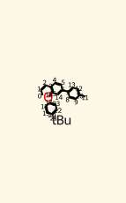 C/C=C\c1ccc(-c2ccc(C)cc2)cc1Oc1ccc(C(C)(C)C)cc1